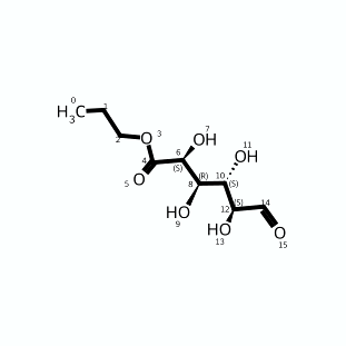 CCCOC(=O)[C@@H](O)[C@H](O)[C@H](O)[C@H](O)C=O